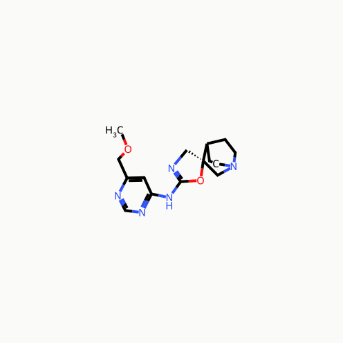 COCc1cc(NC2=NC[C@]3(CN4CCC3CC4)O2)ncn1